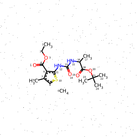 C.CCOC(=O)c1c(C)csc1NC(=O)NC(C)C(=O)OC(C)(C)C